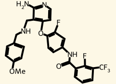 COc1ccc(CNCc2c(Oc3ccc(NC(=O)c4cccc(C(F)(F)F)c4F)cc3F)ccnc2N)cc1